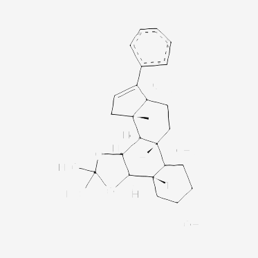 CC1(C)O[C@H]2[C@H](O1)[C@H]1C[C@@H](O)CC[C@]1(C)[C@H]1CC[C@]3(C)C(c4ccccc4)=CC[C@H]3[C@H]21